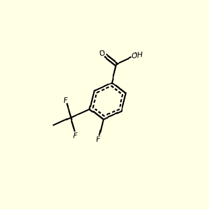 CC(F)(F)c1cc(C(=O)O)ccc1F